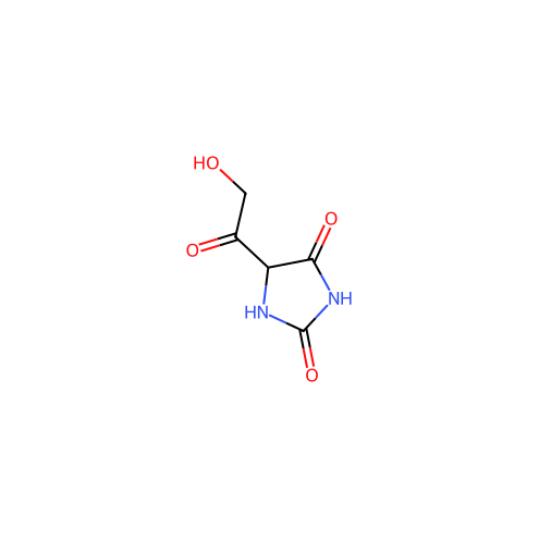 O=C1NC(=O)C(C(=O)CO)N1